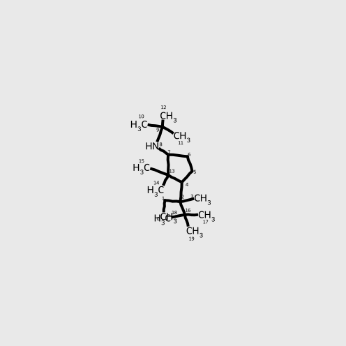 CCC(C)(C1CCC(NC(C)(C)C)C1(C)C)C(C)(C)C